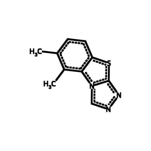 Cc1ccc2sc3nncn3c2c1C